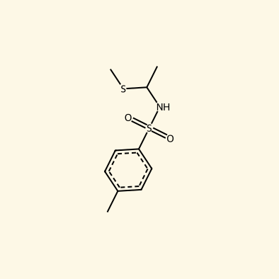 CSC(C)NS(=O)(=O)c1ccc(C)cc1